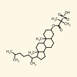 CC(C)CCCC(C)C1CCC2C3CCC4CC(OC(=O)C(C)(C)S(=O)(=O)O)CCC4(C)C3CCC12C